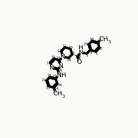 Cc1ccc(CNC(=O)[C@H]2CCCN(c3ccnc(Nc4cccc(C)c4)n3)C2)cc1